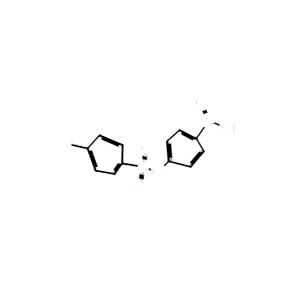 Cc1ccc(S(=O)(=O)Oc2ccc(S(=O)O)cc2)cc1